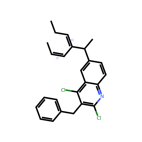 C/C=C\C(=C/CC)C(C)c1ccc2nc(Cl)c(Cc3ccccc3)c(Cl)c2c1